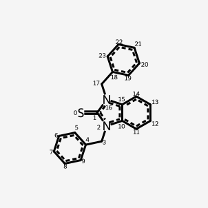 S=c1n(Cc2ccccc2)c2ccccc2n1Cc1ccccc1